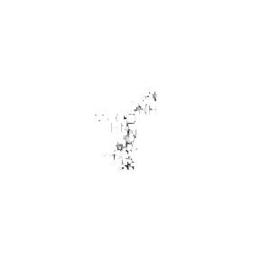 COc1cc(C(=O)NC2CCN(C)CC2)ccc1Nc1cc2c(cn1)cc(-c1cnn(C)c1)n2C(=O)OC(C)(C)C